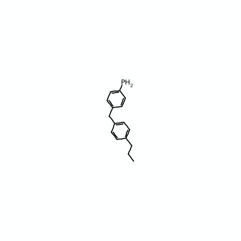 CCCc1ccc(Cc2ccc(P)cc2)cc1